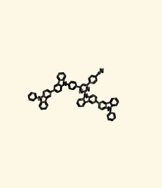 N#Cc1ccc(-c2cc(-c3ccc(-n4c5ccccc5c5cc(-c6ccc7c(c6)c6ccccc6n7-c6ccccc6)ccc54)cc3)nc(-n3c4ccccc4c4cc(-c5ccc6c(c5)c5ccccc5n6-c5ccccc5)ccc43)n2)cc1